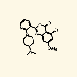 CCc1cc(OC)cc2nc(-c3cccnc3N3CCC(N(C)C)CC3)oc(=O)c12